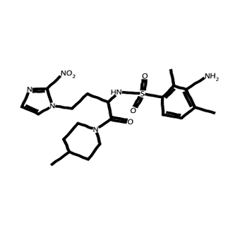 Cc1ccc(S(=O)(=O)NC(CCn2ccnc2[N+](=O)[O-])C(=O)N2CCC(C)CC2)c(C)c1N